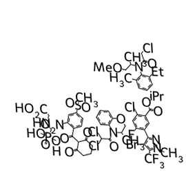 CC(C)OC(=O)c1cc(-c2nn(C)c(C(F)(F)F)c2Br)c(F)cc1Cl.CC1COc2ccccc2N1C(=O)C(Cl)Cl.CCc1cccc(C)c1N(C(=O)CCl)C(C)COC.CS(=O)(=O)c1ccc(C(=O)C2C(=O)CCCC2=O)c([N+](=O)[O-])c1.O=C(O)CNCP(=O)(O)O